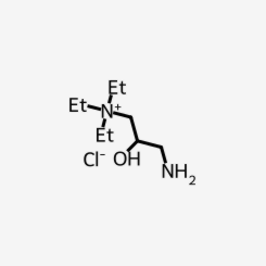 CC[N+](CC)(CC)CC(O)CN.[Cl-]